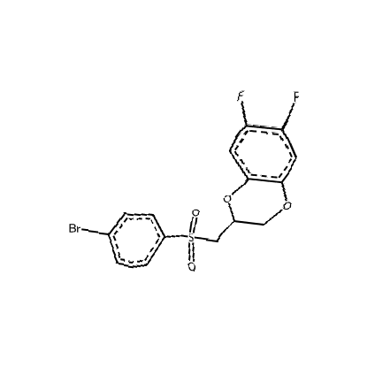 O=S(=O)(CC1COc2cc(F)c(F)cc2O1)c1ccc(Br)cc1